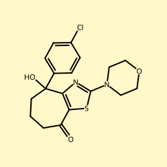 O=C1CCCC(O)(c2ccc(Cl)cc2)c2nc(N3CCOCC3)sc21